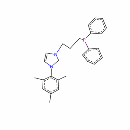 Cc1cc(C)c(N2C=CN(CCCP(c3ccccc3)c3ccccc3)C2)c(C)c1